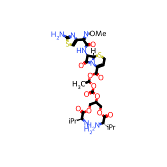 CO/N=C(\C(=O)N[C@@H]1C(=O)N2C(C(=O)OC(C)OC(=O)OC(COC(=O)[C@@H](N)C(C)C)COC(=O)[C@@H](N)C(C)C)=CCS[C@H]12)c1csc(N)n1